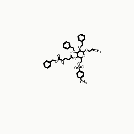 C=CCOC1OC(COS(=O)(=O)c2ccc(C)cc2)C(OC(=O)CCNC(=O)OCc2ccccc2)C(OCc2ccccc2)C1OCc1ccccc1